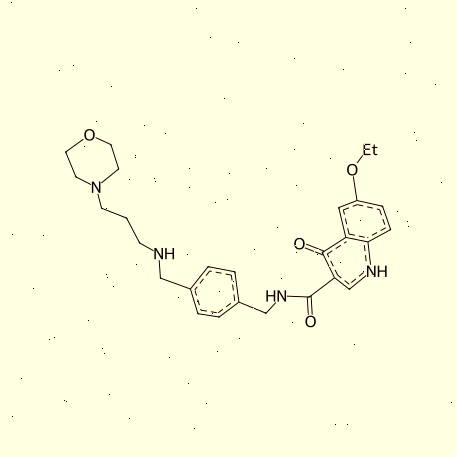 CCOc1ccc2[nH]cc(C(=O)NCc3ccc(CNCCCN4CCOCC4)cc3)c(=O)c2c1